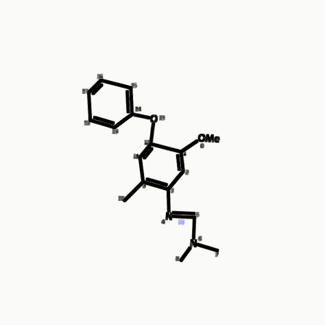 COc1cc(/N=C/N(C)C)c(C)cc1Oc1ccccc1